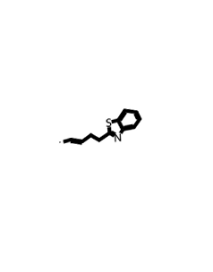 [CH2]C=CCCc1nc2ccccc2s1